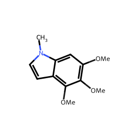 COc1cc2c(ccn2C)c(OC)c1OC